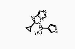 OC(c1ccsc1)[SH]1C(C2CC2)=Nc2cncn21